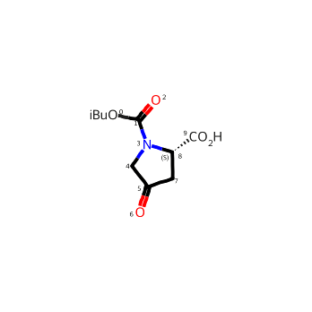 CC(C)COC(=O)N1CC(=O)C[C@H]1C(=O)O